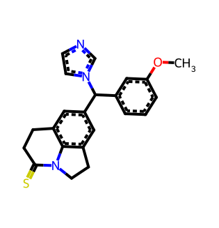 COc1cccc(C(c2cc3c4c(c2)CCN4C(=S)CC3)n2ccnc2)c1